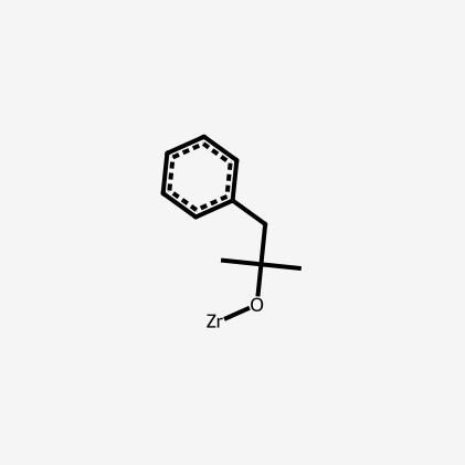 CC(C)(Cc1ccccc1)[O][Zr]